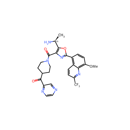 COc1ccc(-c2nc(C(=O)N3CCC(C(=O)c4cnccn4)CC3)c([C@H](C)N)o2)c2ccc(C(F)(F)F)nc12